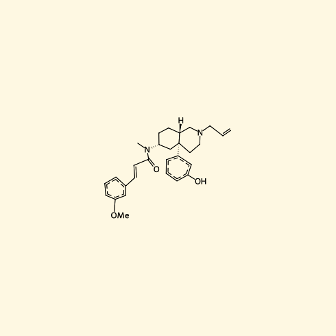 C=CCN1CC[C@@]2(c3cccc(O)c3)C[C@H](N(C)C(=O)C=Cc3cccc(OC)c3)CC[C@@H]2C1